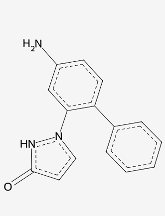 Nc1ccc(-c2ccccc2)c(-n2ccc(=O)[nH]2)c1